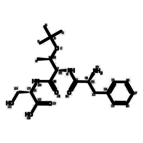 C[C@@H](OC(C)(C)C)[C@H](NC(=O)[C@@H](N)Cc1ccccc1)C(=O)N[C@@H](CO)C(=O)O